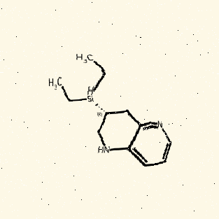 CC[SiH](CC)[C@H]1CNc2cccnc2C1